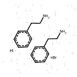 Br.I.NCCc1ccccc1.NCCc1ccccc1